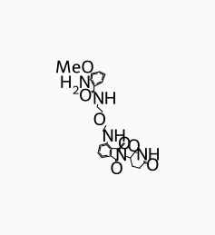 COc1cccc(C(=O)NCCOCCNc2cccc3c2C(=O)N(C2CCC(=O)NC2=O)C3=O)c1N